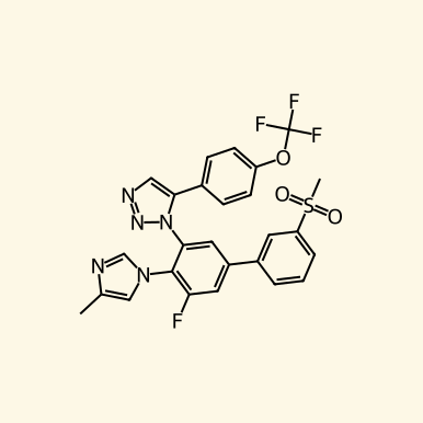 Cc1cn(-c2c(F)cc(-c3cccc(S(C)(=O)=O)c3)cc2-n2nncc2-c2ccc(OC(F)(F)F)cc2)cn1